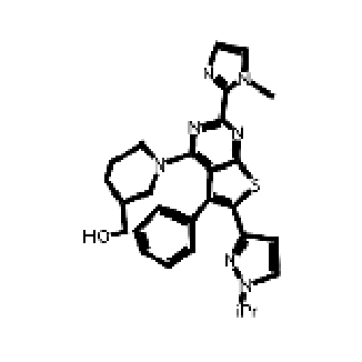 CC(C)n1ccc(-c2sc3nc(-c4nccn4C)nc(N4CCCC(CO)C4)c3c2-c2ccccc2)n1